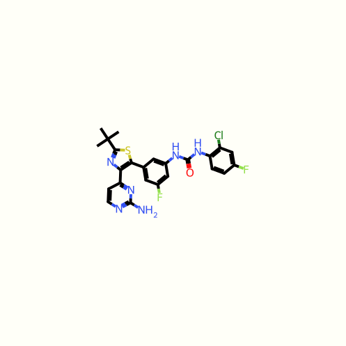 CC(C)(C)c1nc(-c2ccnc(N)n2)c(-c2cc(F)cc(NC(=O)Nc3ccc(F)cc3Cl)c2)s1